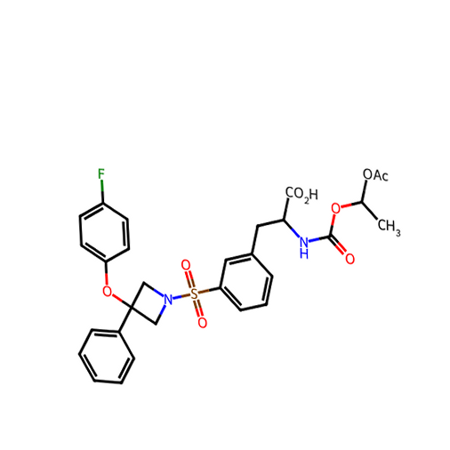 CC(=O)OC(C)OC(=O)NC(Cc1cccc(S(=O)(=O)N2CC(Oc3ccc(F)cc3)(c3ccccc3)C2)c1)C(=O)O